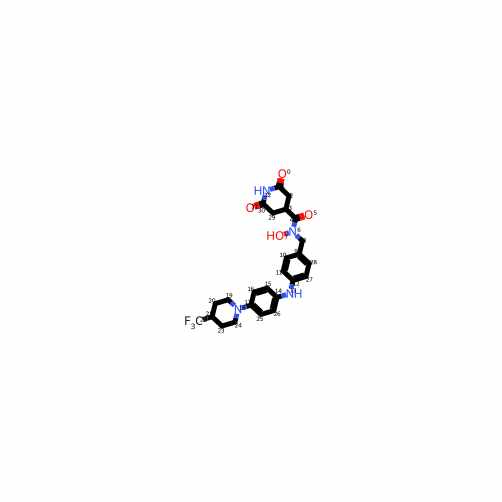 O=C1CC(C(=O)N(O)Cc2ccc(Nc3ccc(N4CCC(C(F)(F)F)CC4)cc3)cc2)CC(=O)N1